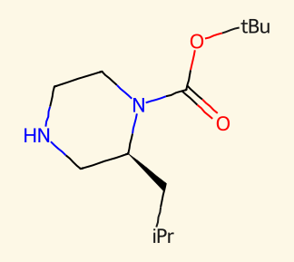 CC(C)C[C@H]1CNCCN1C(=O)OC(C)(C)C